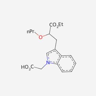 CCCOC(Cc1cn(CC(=O)O)c2ccccc12)C(=O)OCC